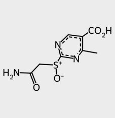 Cc1nc([S+]([O-])CC(N)=O)ncc1C(=O)O